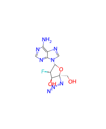 [N-]=[N+]=N[C@]1(CO)O[C@@H](n2cnc3c(N)ncnc32)[C@H](F)[C@@H]1O